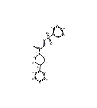 O=C(/C=C/S(=O)(=O)c1ccccc1)N1CCN(c2ccccc2)CC1